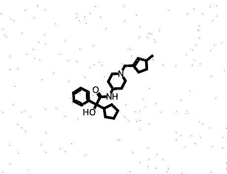 CC1C=C(CN2CCC(NC(=O)C(O)(c3ccccc3)C3CCCC3)CC2)CC1